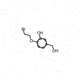 OCc1ccc(OCCBr)c(O)c1